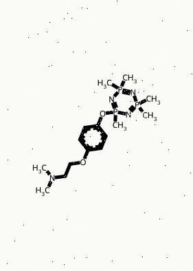 CN(C)CCOc1ccc(OP2(C)=NP(C)(C)=NP(C)(C)=N2)cc1